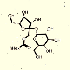 CCCCCCC(=O)OC[C@@]1(O[C@H]2O[C@H](CO)[C@@H](O)[C@H](O)[C@H]2O)O[C@H](CO)[C@@H](O)[C@@H]1O